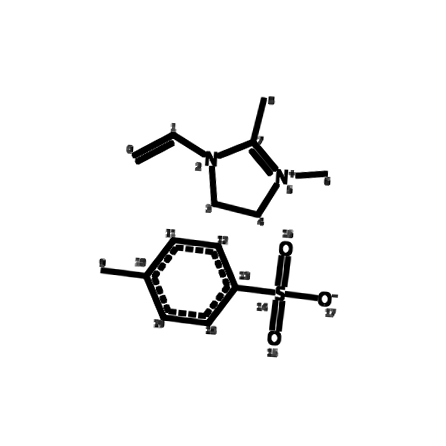 C=CN1CC[N+](C)=C1C.Cc1ccc(S(=O)(=O)[O-])cc1